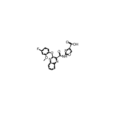 COc1cc(F)ccc1Oc1nc2ccccc2nc1C(=O)Nc1nc(C(=O)O)co1